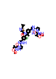 COC(=O)NC(C(=O)N1CCC[C@H]1c1ncc(-c2cc(F)c3c(c2)OC(c2cnc(C4CC4)s2)n2c-3c(C)c3cc(-c4cnc([C@@H]5CCCN5C(=O)C(NC(=O)OC)C(C)C)[nH]4)ccc32)[nH]1)C(C)C